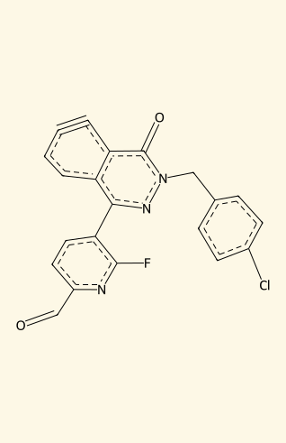 O=Cc1ccc(-c2nn(Cc3ccc(Cl)cc3)c(=O)c3c#cccc23)c(F)n1